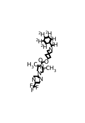 [2H]c1c([2H])c([2H])c(C([2H])N2CC3(CC(OC(=O)N4[C@H](C)CN(c5cnc(C(F)(F)F)cn5)C[C@@H]4C)C3)C2)c([2H])c1[2H]